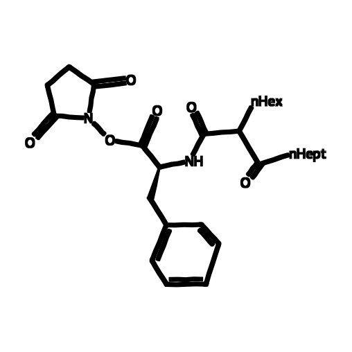 CCCCCCCC(=O)C(CCCCCC)C(=O)N[C@@H](Cc1ccccc1)C(=O)ON1C(=O)CCC1=O